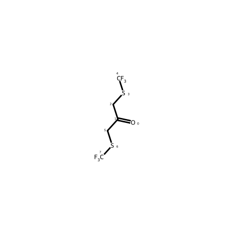 O=C(CSC(F)(F)F)CSC(F)(F)F